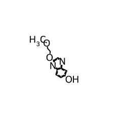 COCCOc1cnc2cc(O)ccc2n1